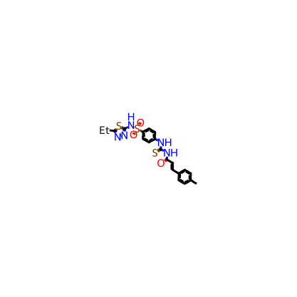 CCc1nnc(NS(=O)(=O)c2ccc(NC(=S)NC(=O)/C=C/c3ccc(C)cc3)cc2)s1